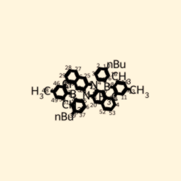 CCCCc1ccc2c(c1)B(c1c(C)cc(C)cc1C)c1c3c(cc4c1N2c1cc2ccccc2c2c1N4c1ccc(CCCC)cc1B2c1c(C)cc(C)cc1C)C=CCC3